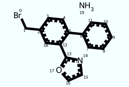 BrCc1ccc(-c2ccccc2)c(-c2ncco2)c1.N